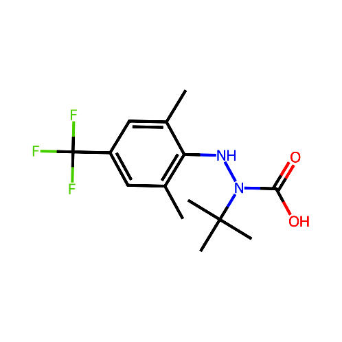 Cc1cc(C(F)(F)F)cc(C)c1NN(C(=O)O)C(C)(C)C